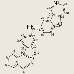 c1ccc2c(c1)ccc1sc3cc(Nc4ccc5oc6ccncc6c5c4)ccc3c12